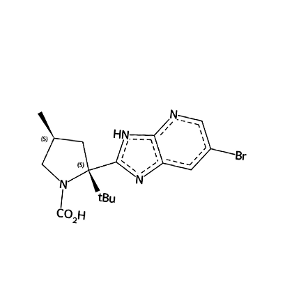 C[C@@H]1CN(C(=O)O)[C@](c2nc3cc(Br)cnc3[nH]2)(C(C)(C)C)C1